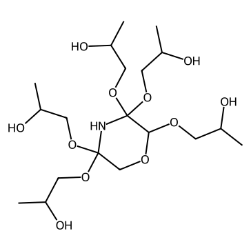 CC(O)COC1OCC(OCC(C)O)(OCC(C)O)NC1(OCC(C)O)OCC(C)O